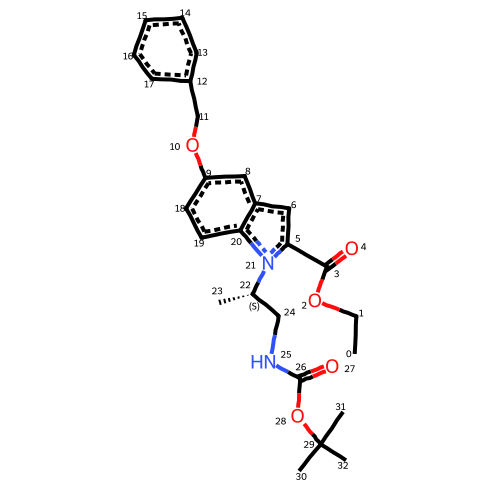 CCOC(=O)c1cc2cc(OCc3ccccc3)ccc2n1[C@@H](C)CNC(=O)OC(C)(C)C